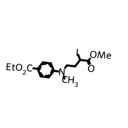 CCOC(=O)c1ccc(N(C)CCC(I)C(=O)OC)cc1